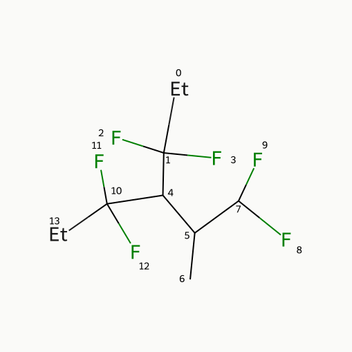 CCC(F)(F)C(C(C)C(F)F)C(F)(F)CC